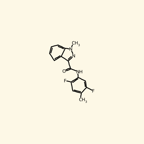 Cc1cc(F)c(NC(=O)c2nn(C)c3ccccc23)cc1F